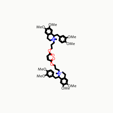 COc1ccc(CC2c3cc(OC)c(OC)cc3CC[N+]2(C)CCCOC(=O)/C=C\C(=O)OCCC[N+]2(C)CCc3cc(OC)c(OC)cc3C2Cc2ccc(OC)c(OC)c2)cc1OC